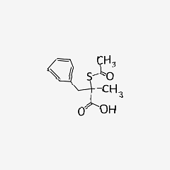 CC(=O)SC(C)(Cc1ccccc1)C(=O)O